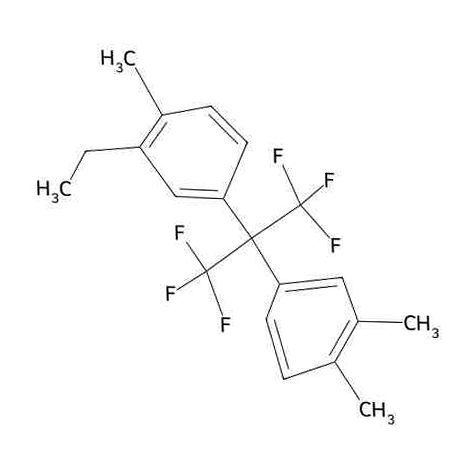 CCc1cc(C(c2ccc(C)c(C)c2)(C(F)(F)F)C(F)(F)F)ccc1C